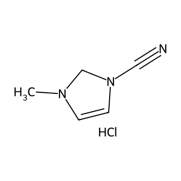 CN1C=CN(C#N)C1.Cl